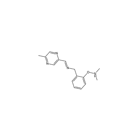 Cc1cnc(C=NCc2ccccc2O[SiH](C)C)cn1